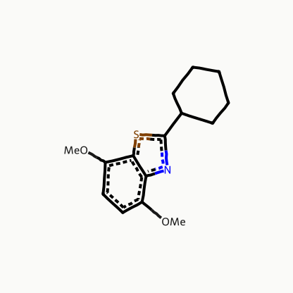 COc1ccc(OC)c2sc(C3CCCCC3)nc12